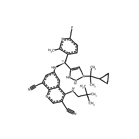 Cc1nc(F)ccc1[C@H](Nc1cc(C#N)c2ncc(C#N)c(NCC(C)(C)C)c2c1)C1=CN(C(C)(C)C2CC2)NN1